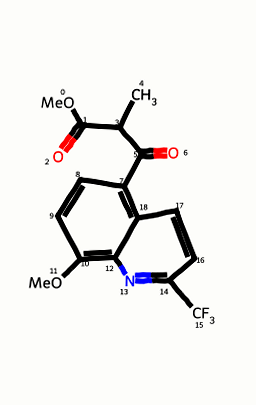 COC(=O)C(C)C(=O)c1ccc(OC)c2nc(C(F)(F)F)ccc12